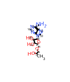 CC(O)COC[C@H]1O[C@@H](n2cnc3c(N)ncnc32)[C@H](O)[C@@H]1O